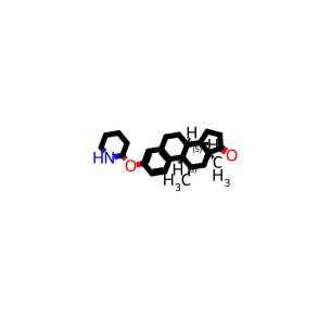 C[C@H]1C[C@]2(C)C(=O)CC[C@H]2[C@@H]2CCc3cc(OC4CCCCN4)ccc3[C@H]21